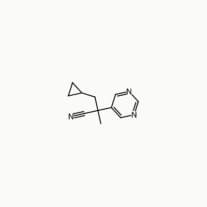 CC(C#N)(CC1CC1)c1cncnc1